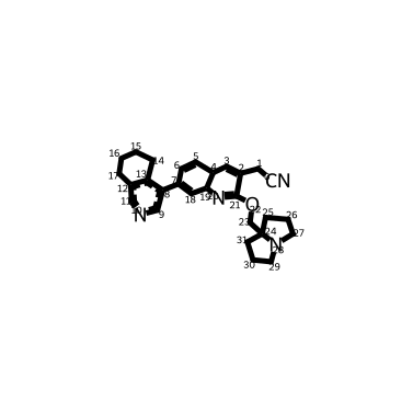 N#CCC1=CC2C=CC(c3cncc4c3CCCC4)=CC2N=C1OCC12CCCN1CCC2